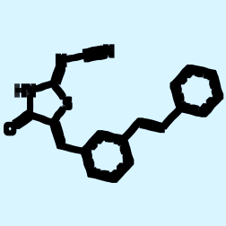 N#CN=C1NC(=O)C(=Cc2cccc(C=Cc3ccccc3)c2)S1